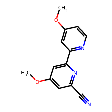 COc1ccnc(-c2cc(OC)cc(C#N)n2)c1